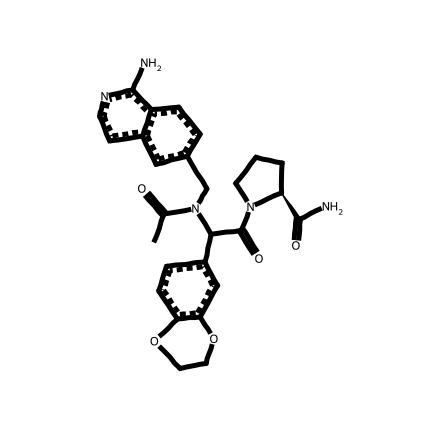 CC(=O)N(Cc1ccc2c(N)nccc2c1)C(C(=O)N1CCC[C@H]1C(N)=O)c1ccc2c(c1)OCCO2